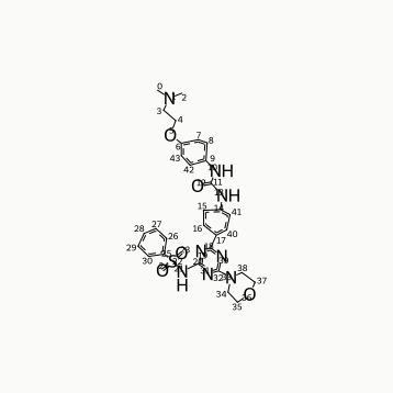 CN(C)CCOc1ccc(NC(=O)Nc2ccc(-c3nc(NS(=O)(=O)c4ccccc4)nc(N4CCOCC4)n3)cc2)cc1